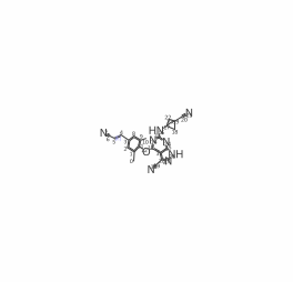 Cc1cc(/C=C/C#N)cc(C)c1Oc1nc(NC23CC(C#N)(C2)C3)nc2[nH]nc(C#N)c12